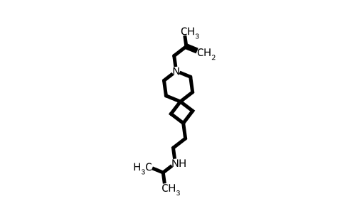 C=C(C)CN1CCC2(CC1)CC(CCNC(C)C)C2